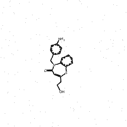 Nc1ccc(CN2C(=O)C=C(CCO)Sc3ccccc32)cc1